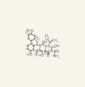 CC1c2c(-c3ccc4c(c3)OCO4)ccc(O)c2C(=O)C2=C(O)C3(O)C(=O)C(C(N)=O)=C(O)C(N(C)C)C3C(O)C21